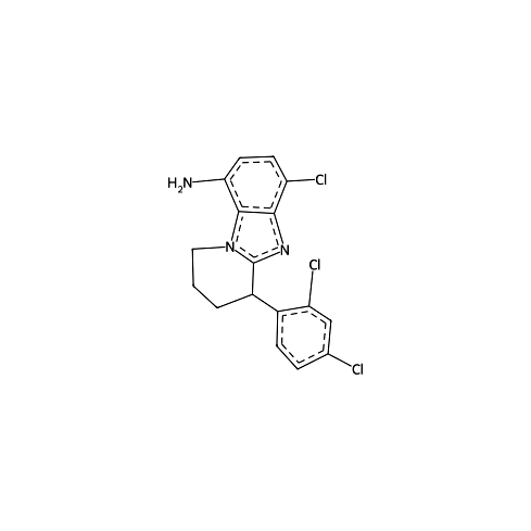 Nc1ccc(Cl)c2nc3n(c12)CCCC3c1ccc(Cl)cc1Cl